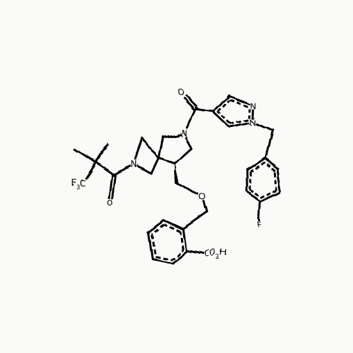 CC(C)(C(=O)N1CC2(CN(C(=O)c3cnn(Cc4ccc(F)cc4)c3)C[C@H]2COCc2ccccc2C(=O)O)C1)C(F)(F)F